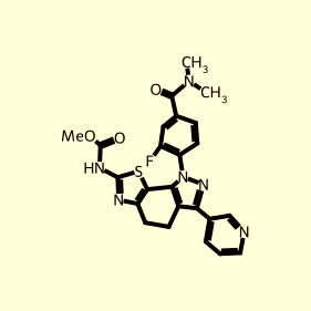 COC(=O)Nc1nc2c(s1)-c1c(c(-c3cccnc3)nn1-c1ccc(C(=O)N(C)C)cc1F)CC2